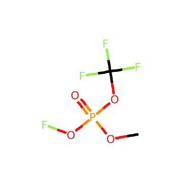 COP(=O)(OF)OC(F)(F)F